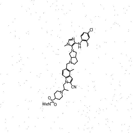 CNS(=O)(=O)C1CCN(C(C)Cn2c(C#N)cc3c(C)c(CN4CCC5CN(c6c(Nc7ccc(Cl)cc7F)ncn6C)CC54)ccc32)CC1